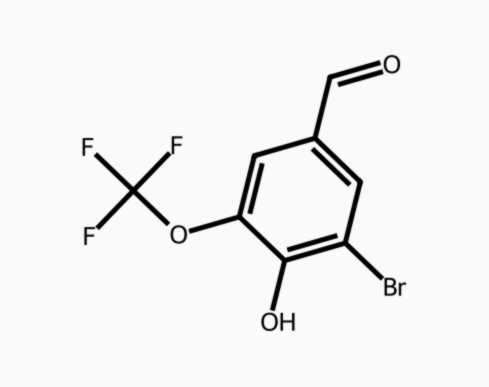 O=Cc1cc(Br)c(O)c(OC(F)(F)F)c1